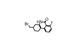 O=c1[nH]c2c(c3cccc(F)c13)CCC(CBr)C2